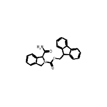 NC(=O)C1c2ccccc2CN1C(=O)OCC1c2ccccc2-c2ccccc21